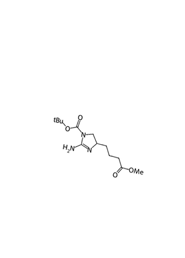 COC(=O)CCCC1CN(C(=O)OC(C)(C)C)C(N)=N1